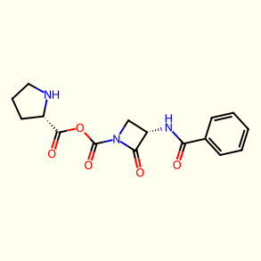 O=C(N[C@H]1CN(C(=O)OC(=O)[C@@H]2CCCN2)C1=O)c1ccccc1